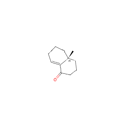 C[C@]12CCCC=C1C(=O)CCC2